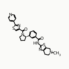 CN1CCc2nc(NC(=O)c3cccc([C@H]4CCCN4C(=O)c4csc(-c5ccncc5)n4)c3)sc2C1